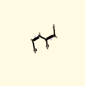 CC/C=N\C(Cl)=N/F